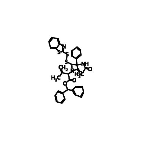 C=C(C)C(C(=O)OC(c1ccccc1)c1ccccc1)N1C(=O)C(NC(C)=O)(c2ccccc2)C1SSc1nc2ccccc2s1